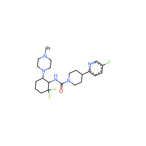 CC(C)N1CCN(C2CCCC(F)(F)C2NC(=O)N2CCC(c3ccc(F)cn3)CC2)CC1